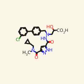 CN(CC1CC1)C(=O)c1cc(C(=O)NN(Cc2ccc(-c3cccc(Cl)c3)cc2)CC(O)C(=O)O)[nH]n1